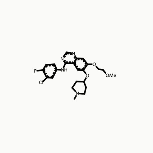 COCCOc1cc2ncnc(Nc3ccc(F)c(Cl)c3)c2cc1OC1CCN(C)CC1